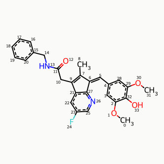 COc1cc(C=C2C(C)=C(CC(=O)NCc3ccccc3)c3cc(F)cnc32)cc(OC)c1O